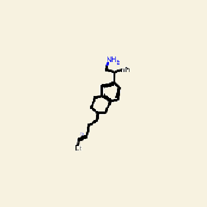 CC/C=C/CCC1CCc2cc(C(CN)CCC)ccc2C1